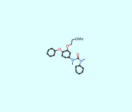 COCCOc1cc(N(C)C(=O)N(C)c2ccccc2)ccc1Oc1ccccc1